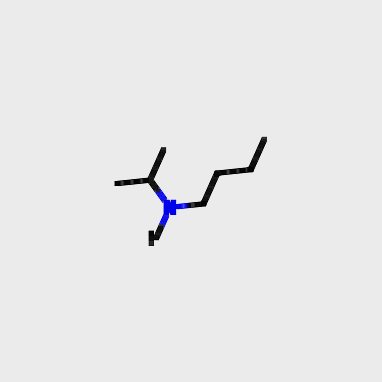 [C]N(CCCC)C(C)C